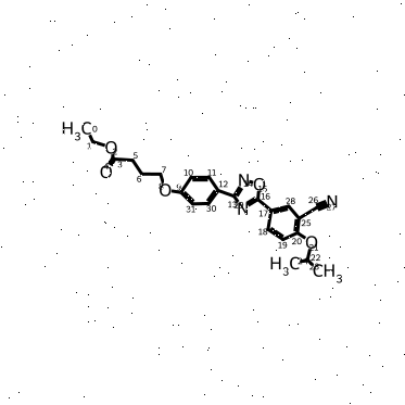 CCOC(=O)CCCOc1ccc(-c2noc(-c3ccc(OC(C)C)c(C#N)c3)n2)cc1